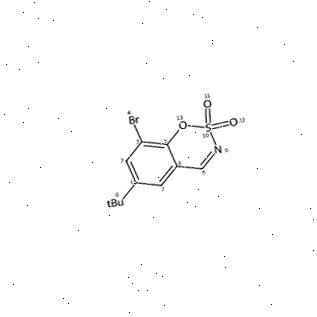 CC(C)(C)c1cc(Br)c2c(c1)C=NS(=O)(=O)O2